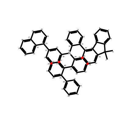 CC1(C)c2ccccc2-c2c(-c3ccccc3N(c3cccc(-c4cccc5ccccc45)c3)c3ccccc3-c3ccccc3-c3ccccc3)cccc21